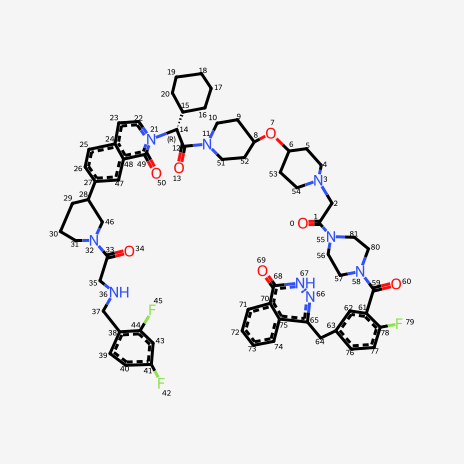 O=C(CN1CCC(OC2CCN(C(=O)[C@@H](C3CCCCC3)n3ccc4ccc(C5CCCN(C(=O)CNCc6ccc(F)cc6F)C5)cc4c3=O)CC2)CC1)N1CCN(C(=O)c2cc(Cc3n[nH]c(=O)c4ccccc34)ccc2F)CC1